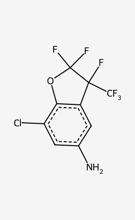 Nc1cc(Cl)c2c(c1)C(F)(C(F)(F)F)C(F)(F)O2